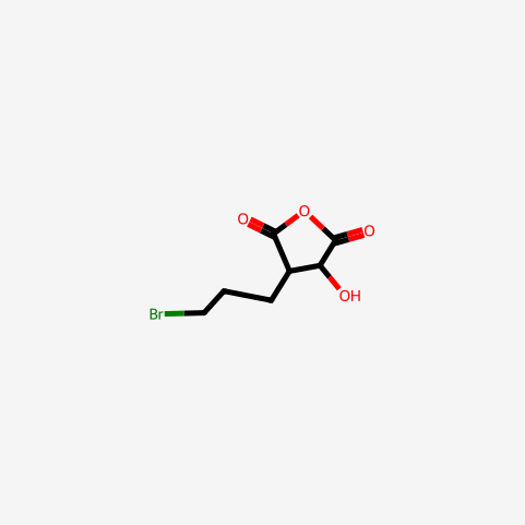 O=C1OC(=O)C(CCCBr)C1O